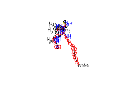 COCCOCCOCCOCCOCCOCCOCCOCCOCCOCCOCCOCC(=O)NCCCC[C@H](NC(=O)OCc1ccc(NC(=O)[C@H](C)NC(=O)[C@@H](NC(=O)CCCCCN2C(=O)C=CC2=O)C(C)C)cc1)C(=O)N[C@@H](C)C(=O)NCCOC12CC3(C)CC(C)(CC(Cn4ncc(-c5ccc(N6CCc7cccc(C(=O)Nc8nc9ccccc9s8)c7C6)nc5C(=O)O)c4C)(C3)C1)C2